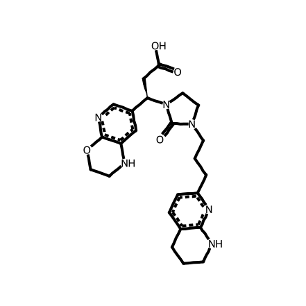 O=C(O)C[C@H](c1cnc2c(c1)NCCO2)N1CCN(CCCc2ccc3c(n2)NCCC3)C1=O